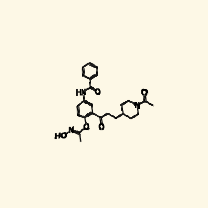 CC(=O)N1CCC(CCC(=O)c2cc(NC(=O)c3ccccc3)ccc2OC(C)=NO)CC1